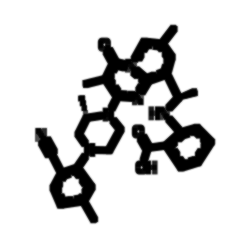 Cc1ccc(C#N)c(N2CCN(c3nc4c([C@@H](C)Nc5ccccc5C(=O)O)cc(C)cn4c(=O)c3C)[C@@H](C)C2)c1